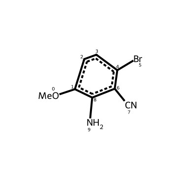 COc1ccc(Br)c(C#N)c1N